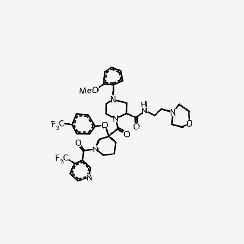 COc1ccccc1N1CCN(C(=O)C2(Oc3ccc(C(F)(F)F)cc3)CCCN(C(=O)c3cnccc3C(F)(F)F)C2)C(C(=O)NCCN2CCOCC2)C1